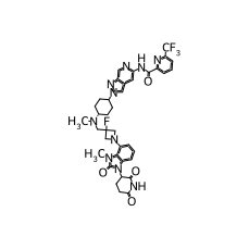 Cn1c(=O)n(C2CCC(=O)NC2=O)c2cccc(N3CC(F)(CN(C)[C@H]4CC[C@H](n5cc6cc(NC(=O)c7cccc(C(F)(F)F)n7)ncc6n5)CC4)C3)c21